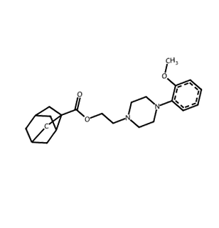 COc1ccccc1N1CCN(CCOC(=O)C23CC4CC(CC2C4)C3)CC1